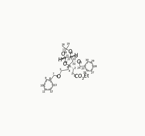 CCOC(=O)CC[C@]1(CCOCc2ccccc2)O[C@@H]2OC(C)(C)O[C@@H]2[C@@H]1OCc1ccccc1